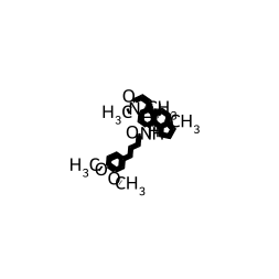 COc1ccc(CCCC(=O)NC2CC3N(C)C(=O)C=C[C@]3(C)[C@@H]3CC[C@]4(C)CCC[C@H]4[C@H]23)cc1OC